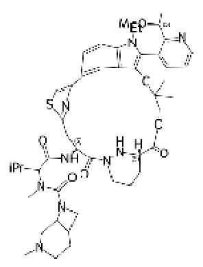 CCn1c(-c2cccnc2[C@H](C)OC)c2c3cc(ccc31)-c1csc(n1)C[C@H](NC(=O)C(C(C)C)N(C)C(=O)N1CC3CCN(C)CC31)C(=O)N1CCC[C@H](N1)C(=O)OCC(C)(C)C2